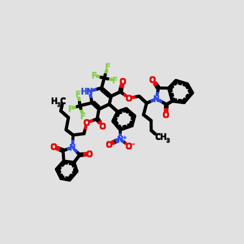 CCCCC(COC(=O)C1=C(C(F)(F)F)NC(C(F)(F)F)=C(C(=O)OCC(CCCC)N2C(=O)c3ccccc3C2=O)C1c1cccc([N+](=O)[O-])c1)N1C(=O)c2ccccc2C1=O